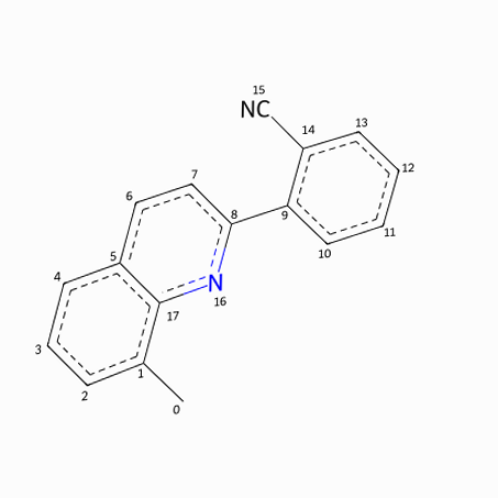 Cc1cccc2ccc(-c3ccccc3C#N)nc12